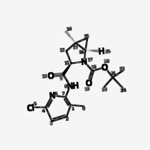 Cc1ccc(Cl)nc1NC(=O)[C@H]1C[C@@]2(C)C[C@H]2N1C(=O)OC(C)(C)C